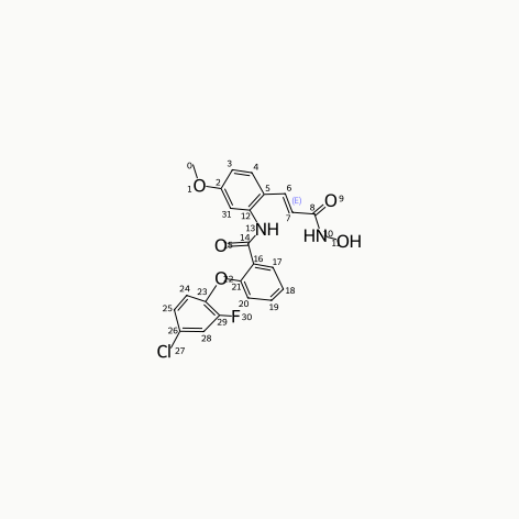 COc1ccc(/C=C/C(=O)NO)c(NC(=O)c2ccccc2Oc2ccc(Cl)cc2F)c1